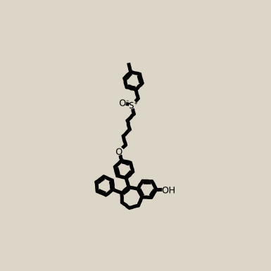 Cc1ccc(C[S+]([O-])CCCCCOc2ccc(C3=C(c4ccccc4)CCCc4cc(O)ccc43)cc2)cc1